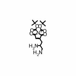 CC(C)(C)OC(=O)[N+]1(C(=O)OC(C)(C)C)C(=O)C=C(CC(N)CN)C1=O